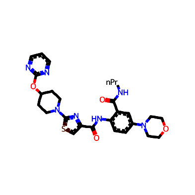 CCCNC(=O)c1cc(N2CCOCC2)ccc1NC(=O)c1csc(N2CCC(Oc3ncccn3)CC2)n1